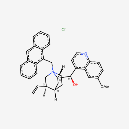 C=C[C@H]1C[N+]2(Cc3c4ccccc4cc4ccccc34)CC[C@H]1C[C@H]2[C@H](O)c1ccnc2ccc(OC)cc12.[Cl-]